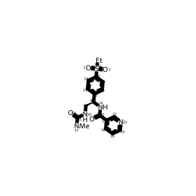 CCS(=O)(=O)c1ccc([C@H](CNC(=O)NC)NC(=O)c2cccnc2)cc1